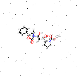 CC(C(=O)N1C(=O)O[C@@H](c2ccccc2)[C@H]1C)C(O)[C@@H]1CCCN1C(=O)OC(C)(C)C